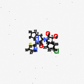 O=C1C(=O)N(C(CC2CCCC2)C(=O)Nc2nccs2)c2ccc(Cl)cc21